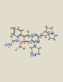 Nc1nc2c(-c3c(OC(F)F)cc4c(N5CCNCC5)nc(OCC56CCCN5CCC6)nc4c3F)ccc(F)c2s1